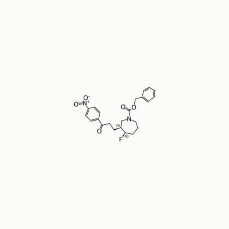 O=C(CC[C@H]1CN(C(=O)OCc2ccccc2)CCC[C@H]1F)c1ccc([N+](=O)[O-])cc1